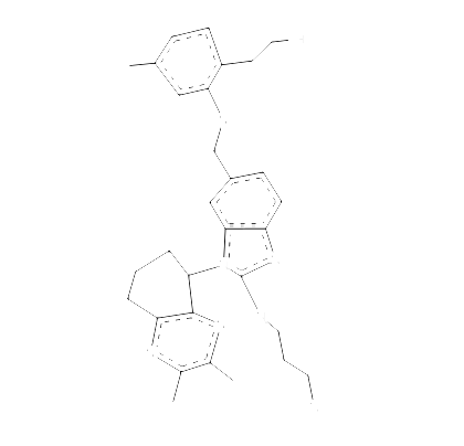 Cc1ccc(CCO)c(NCc2ccc3nc(NCCCN)n(C4CCCc5nc(C)c(C)nc54)c3c2)c1